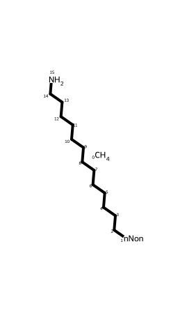 C.CCCCCCCCCCCCCCCCCCCCCCN